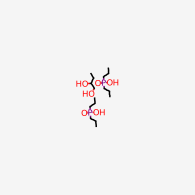 CCC(O)CO.CCCP(=O)(O)CCC.CCCP(=O)(O)CCC